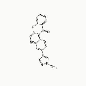 Cn1cc(-c2ccc3c(C(=O)c4ccccc4F)ncnc3c2)cn1